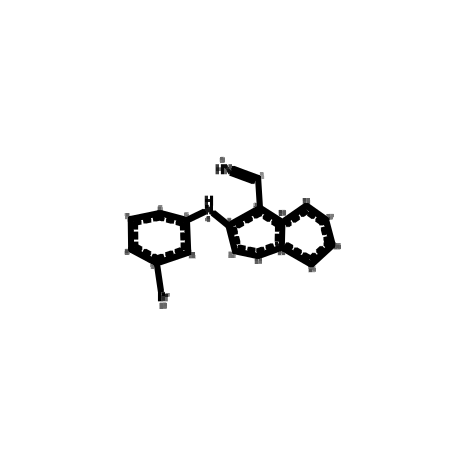 N=Cc1c(Nc2cccc(Br)c2)ccc2ccccc12